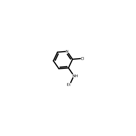 CCNc1c[c]cnc1Cl